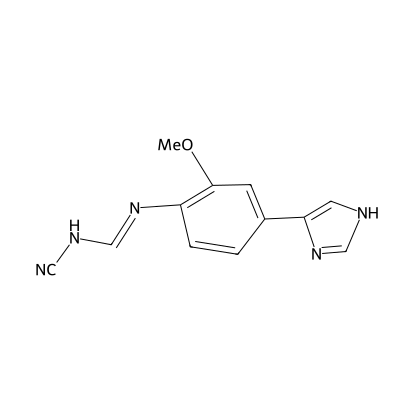 COc1cc(-c2c[nH]cn2)ccc1N=CNC#N